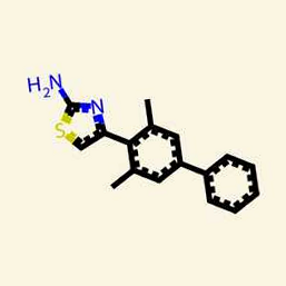 Cc1cc(-c2ccccc2)cc(C)c1-c1csc(N)n1